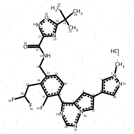 Cl.Cn1cc(-c2cc3c(-c4ccc(CNC(=O)c5noc(C(C)(C)C)n5)c(CC(F)F)c4F)ncnn3c2)cn1